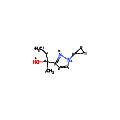 [CH2]CC(C)(O)c1ccn(C2CC2)n1